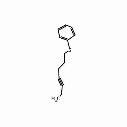 CCC#CCCCSc1ccccc1